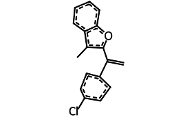 C=C(c1ccc(Cl)cc1)c1oc2ccccc2c1C